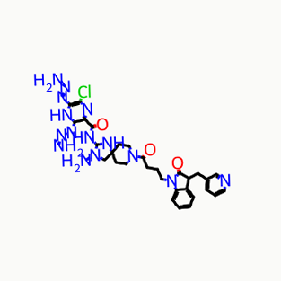 NN=NC1=C(Cl)N=C(C(=O)NC2NC3(CCN(C(=O)CCCN4C(=O)C(Cc5cccnc5)c5ccccc54)CC3)CN2N)C(N=NN)N1